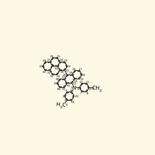 Cc1ccc(N(c2ccc(C)cc2)c2c3ccccc3c(-c3ccc4ccc5cccc6ccc3c4c56)c3ccccc23)cc1